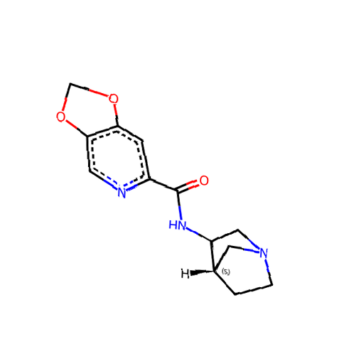 O=C(NC1CN2CC[C@H]1C2)c1cc2c(cn1)OCO2